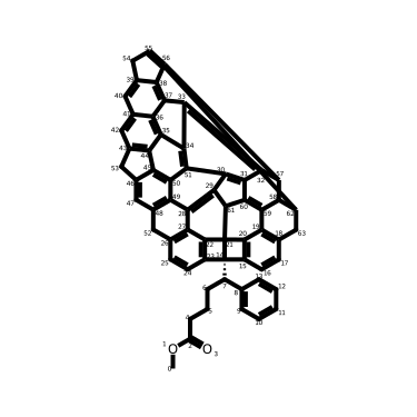 COC(=O)CCCC(c1ccccc1)[C@@]12c3ccc4c5c3C13c1c2ccc2c1-c1c6c7c8c9c%10c%11c%12c%13c-%10c%10c(cc%13cc%13c%12c%12c(cc(c1c%12c7%11)C2)C%13)CC1=C%10C9C(C5=C8C63)C1C4